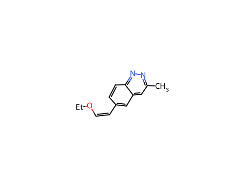 CCO/C=C\c1ccc2nnc(C)cc2c1